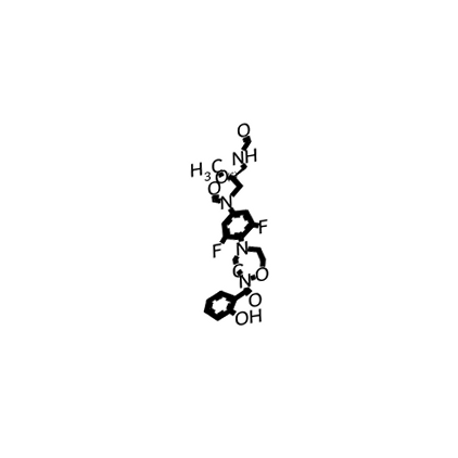 CO[C@@H](CNC=O)CN(C=O)c1cc(F)c(N2CCON(C(=O)c3ccccc3O)CC2)c(F)c1